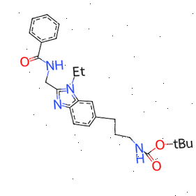 CCn1c(CNC(=O)c2ccccc2)nc2ccc(CCCNC(=O)OC(C)(C)C)cc21